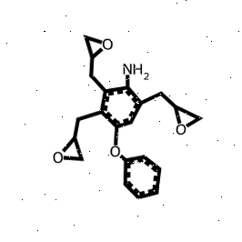 Nc1c(CC2CO2)cc(Oc2ccccc2)c(CC2CO2)c1CC1CO1